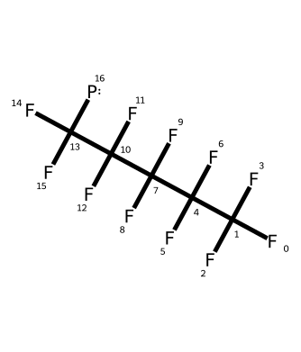 FC(F)(F)C(F)(F)C(F)(F)C(F)(F)C(F)(F)[P]